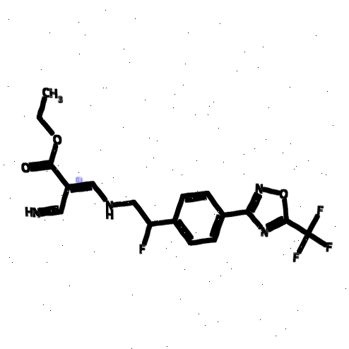 CCOC(=O)/C(C=N)=C/NCC(F)c1ccc(-c2noc(C(F)(F)F)n2)cc1